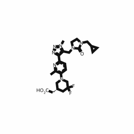 Cc1nc(-c2nnn(C)c2CN2CCN(CC3CC3)C2=O)ccc1N1C[C@@H](CC(=O)O)CC(F)(F)C1